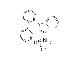 C1=CC(c2ccccc2-c2ccccc2)c2ccccc21.[Cl-].[Cl-].[NH2][Hf+2]